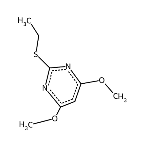 CCSc1nc(OC)cc(OC)n1